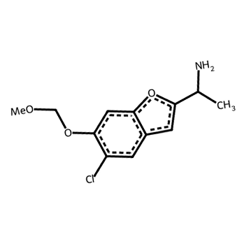 COCOc1cc2oc(C(C)N)cc2cc1Cl